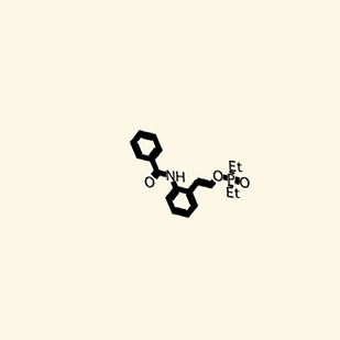 CCP(=O)(CC)OC=Cc1ccccc1NC(=O)c1ccccc1